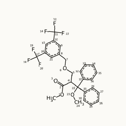 COC(=O)C(COCc1cc(C(F)(F)F)cc(C(F)(F)F)c1)C(OC)(c1ccccc1)c1ccccc1